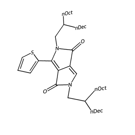 CCCCCCCCCCC(CCCCCCCC)CN1C=C2C(=O)N(CC(CCCCCCCC)CCCCCCCCCC)C(c3cccs3)=C2C1=O